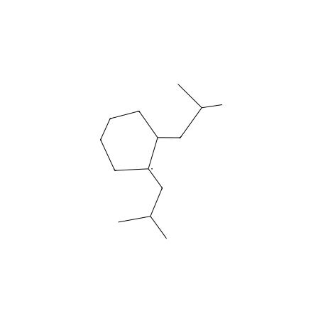 CC(C)C[C]1CCCCC1CC(C)C